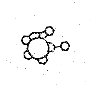 c1ccc(-c2nc3nc(n2)n2c4ccccc4c4cc5cccc(c6cccc(c6)c6cccc3c6)c5cc42)cc1